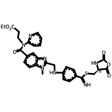 CCOC(=O)CCN(C(=O)c1ccc2c(c1)nc(CNc1ccc(C(=N)SC[C@H]3NC(=O)OC3=O)cc1)n2C)c1ccccn1